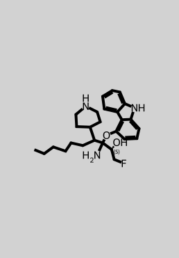 CCCCCCC(C1CCNCC1)C(N)(Oc1cccc2[nH]c3ccccc3c12)[C@H](O)CF